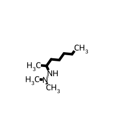 CCCCCC(C)NN(C)C